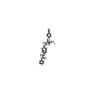 N#Cc1ccc(OCC(NCCN2CC3CN(CC(=O)NCc4ccccc4)CC(C2)O3)C(N)=O)cc1